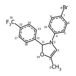 CC1=CN(c2ccc(Br)cc2)C(c2ccc(C(F)(F)F)cc2)O1